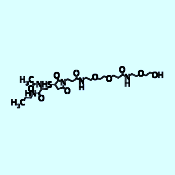 CCCNC(=O)C(CSC1CC(=O)N(CCC(=O)NCCOCCOCCC(=O)NCCOCCO)C1=O)NC(C)=O